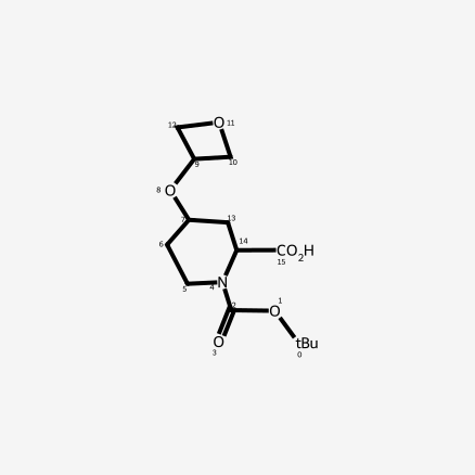 CC(C)(C)OC(=O)N1CCC(OC2COC2)CC1C(=O)O